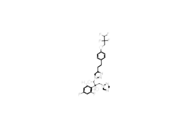 C[C@@H](n1cc(/C=C/c2ccc(OCC(F)(F)C(F)F)cc2)nn1)[C@](O)(Cn1cncn1)c1ccc(F)cc1F